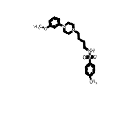 COc1cccc(N2CCN(CCCCNS(=O)(=O)c3ccc(C)cc3)CC2)c1